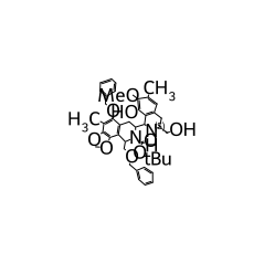 COc1c(C)cc2c(c1O)C(C1Cc3c(OCc4ccccc4)c(C)c4c(c3C(COCc3ccccc3)N1C(=O)OC(C)(C)C)OCO4)N[C@H](CO)C2